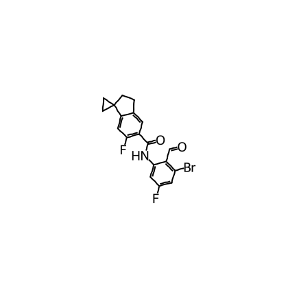 O=Cc1c(Br)cc(F)cc1NC(=O)c1cc2c(cc1F)C1(CC2)CC1